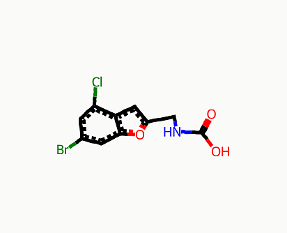 O=C(O)NCc1cc2c(Cl)cc(Br)cc2o1